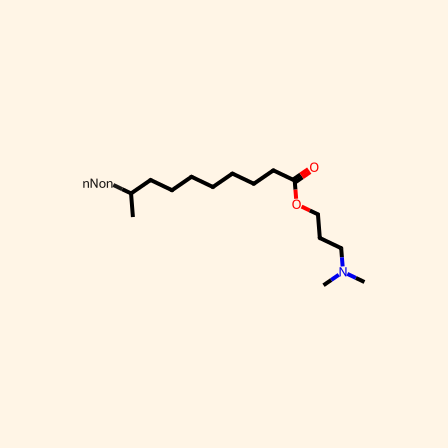 CCCCCCCCCC(C)CCCCCCCC(=O)OCCCN(C)C